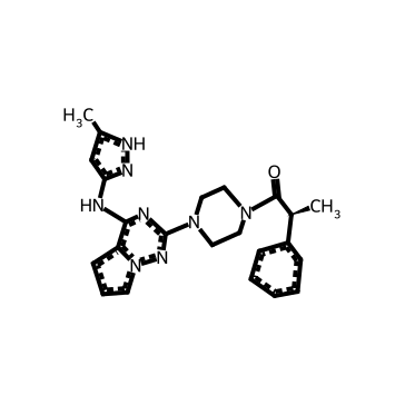 Cc1cc(Nc2nc(N3CCN(C(=O)[C@@H](C)c4ccccc4)CC3)nn3cccc23)n[nH]1